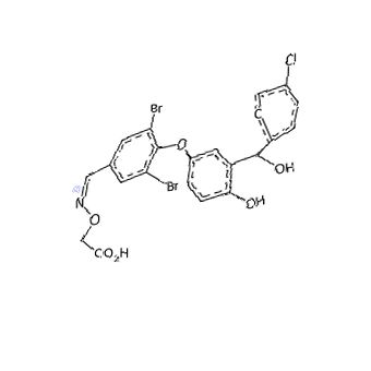 O=C(O)CO/N=C\c1cc(Br)c(Oc2ccc(O)c(C(O)c3ccc(Cl)cc3)c2)c(Br)c1